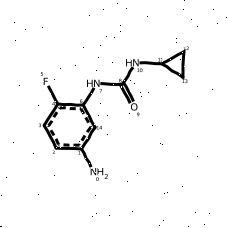 Nc1ccc(F)c(NC(=O)NC2CC2)c1